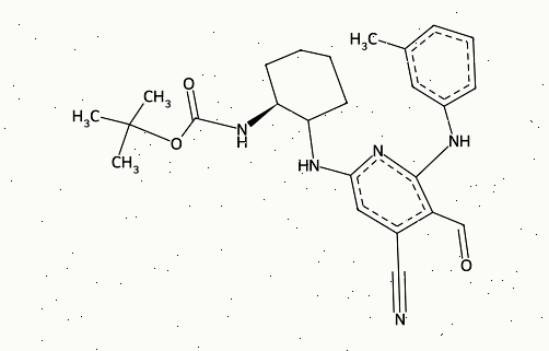 Cc1cccc(Nc2nc(NC3CCCC[C@@H]3NC(=O)OC(C)(C)C)cc(C#N)c2C=O)c1